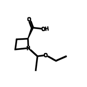 CCOC(C)N1CC[C@H]1C(=O)O